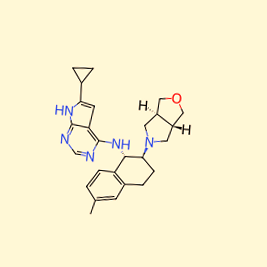 Cc1ccc2c(c1)CC[C@H](N1C[C@H]3COC[C@@H]3C1)[C@H]2Nc1ncnc2[nH]c(C3CC3)cc12